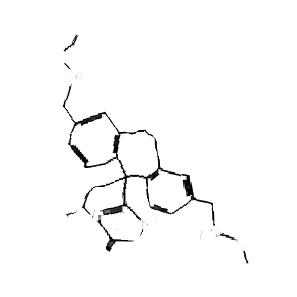 CONCc1ccc2c(c1)CCc1cc(CNOC)ccc1C2(C[C@H](C)N)c1nc(=O)o[nH]1